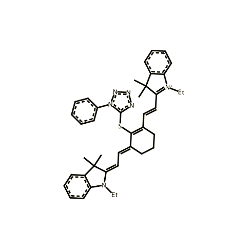 CCN1/C(=C/C=C2\CCCC(/C=C/C3=[N+](CC)c4ccccc4C3(C)C)=C2Sc2nnnn2-c2ccccc2)C(C)(C)c2ccccc21